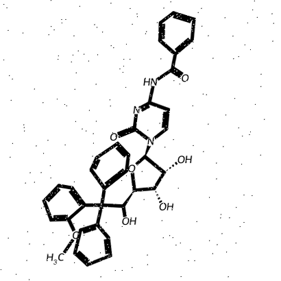 COc1ccccc1C(c1ccccc1)(c1ccccc1)C(O)[C@H]1O[C@@H](n2ccc(NC(=O)c3ccccc3)nc2=O)[C@H](O)[C@@H]1O